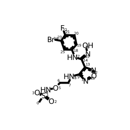 CS(=O)(=O)NOCCNc1nonc1/C(=N/O)Nc1ccc(F)c(Br)c1